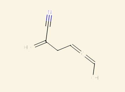 C=C(C#N)CC=C=CC